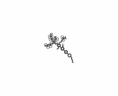 C=C(C)C(=O)OCCCc1cc(-c2ccc(-c3ccc(C4CCC(CCCCC)CC4)cc3)cc2F)c(CC)cc1OCC(COC(=O)CC(=O)OC)(COC(=O)CC(=O)OC)COC(=O)C(=C)C